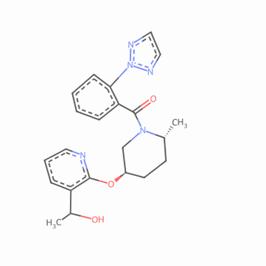 CC(O)c1cccnc1O[C@@H]1CC[C@@H](C)N(C(=O)c2ccccc2-n2nccn2)C1